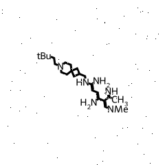 CN/C=C(C(C)=N)/C(N)=C/C=C(\N)NCC1CC2(CCN(CCC(C)(C)C)CC2)C1